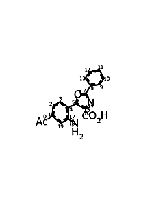 CC(=O)c1ccc(-c2oc(-c3ccccc3)nc2C(=O)O)c(N)c1